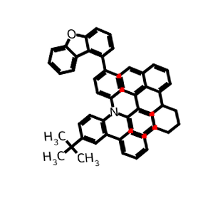 CC(C)(C)c1ccc(N(c2ccc(-c3cccc4oc5ccccc5c34)cc2)c2ccccc2-c2cccc3cccc(C4CCCCC4)c23)c(-c2ccccc2)c1